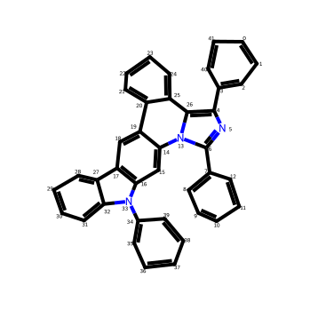 c1ccc(-c2nc(-c3ccccc3)n3c4cc5c(cc4c4ccccc4c23)c2ccccc2n5-c2ccccc2)cc1